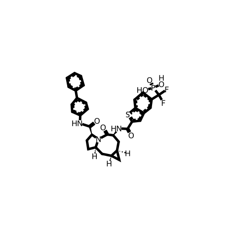 O=C(N[C@H]1C[C@H]2C[C@H]2C[C@H]2CC[C@@H](C(=O)Nc3ccc(-c4ccccc4)cc3)N2C1=O)c1cc2cc(C(F)(F)P(=O)(O)O)ccc2s1